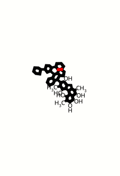 Cc1c(O)c2c(c(O)c1-c1c3ccccc3c(-c3cc(-c4ccccc4)ccc3-c3ccccc3)c3ccccc13)Cc1c(C)c(O)c3c(O)c(O)c(C)c(O)c3c1-2